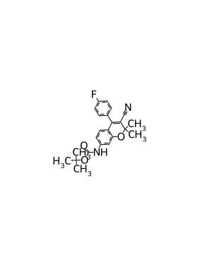 CC(C)(C)OC(=O)Nc1ccc2c(c1)OC(C)(C)C(C#N)=C2c1ccc(F)cc1